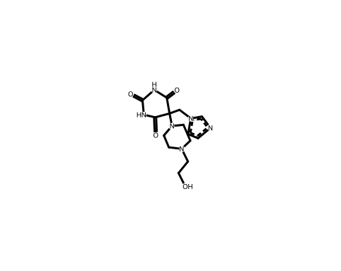 O=C1NC(=O)C(Cn2ccnc2)(N2CCN(CCO)CC2)C(=O)N1